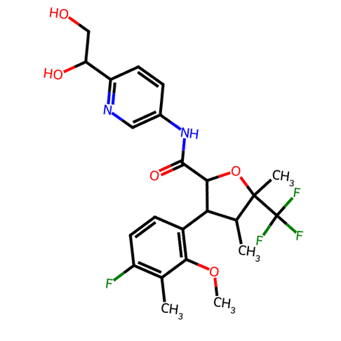 COc1c(C2C(C(=O)Nc3ccc(C(O)CO)nc3)OC(C)(C(F)(F)F)C2C)ccc(F)c1C